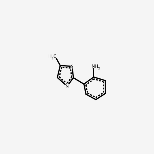 Cc1cnc(-c2ccccc2N)s1